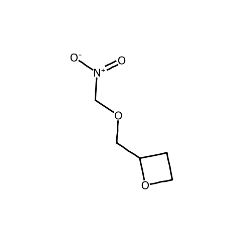 O=[N+]([O-])COCC1CCO1